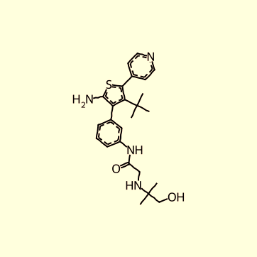 CC(C)(CO)NCC(=O)Nc1cccc(-c2c(N)sc(-c3ccncc3)c2C(C)(C)C)c1